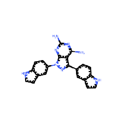 Nc1nc(N)c2c(-c3ccc4[nH]ccc4c3)nn(-c3ccc4[nH]ccc4c3)c2n1